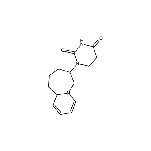 O=C1CCN(C2CCCC3C=CC=CN3C2)C(=O)N1